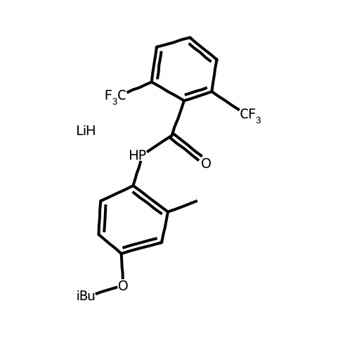 CCC(C)Oc1ccc(PC(=O)c2c(C(F)(F)F)cccc2C(F)(F)F)c(C)c1.[LiH]